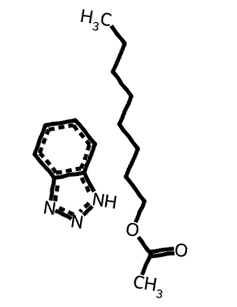 CCCCCCCCOC(C)=O.c1ccc2[nH]nnc2c1